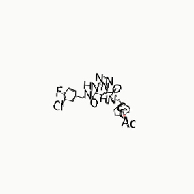 CC(=O)C12CCC(CNC(=O)c3cc(C(=O)NCc4ccc(F)c(Cl)c4)nc4ncnn34)(CC1)CC2